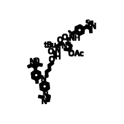 CC(=O)O[C@@H]1C[C@@H](C(=O)N[C@@H](C)c2ccc(-c3scnc3C)cc2)N(C(=O)[C@@H](NC(=O)COCCCCCN(c2ccc(-n3ccnc3C)cc2)c2cc(-c3c(C)noc3C)ccc2C)C(C)(C)C)C1